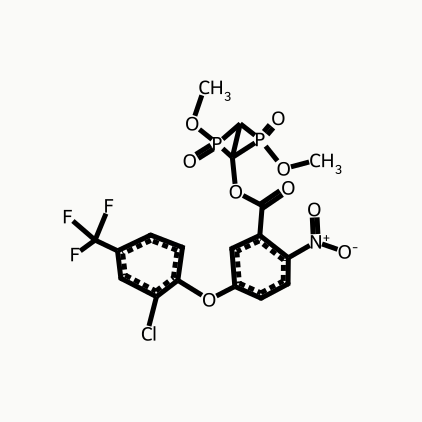 COP1(=O)C2C1(OC(=O)c1cc(Oc3ccc(C(F)(F)F)cc3Cl)ccc1[N+](=O)[O-])P2(=O)OC